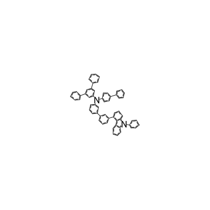 c1ccc(-c2ccc(N(c3cccc(-c4cccc(-c5cccc6c5c5ccccc5n6-c5ccccc5)c4)c3)c3cc(-c4ccccc4)cc(-c4ccccc4)c3)cc2)cc1